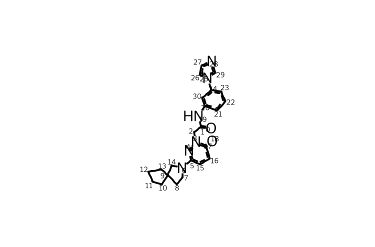 O=C(Cn1nc(N2CCC3(CCCC3)C2)ccc1=O)Nc1cccc(-n2ccnc2)c1